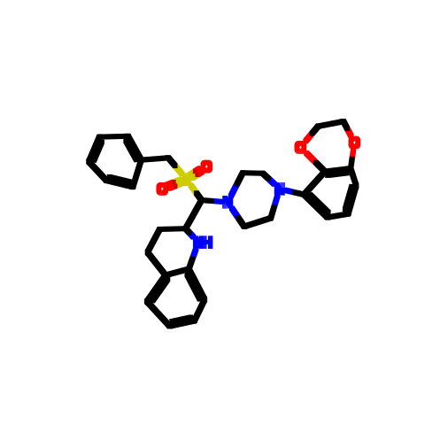 O=S(=O)(Cc1ccccc1)C(C1CCc2ccccc2N1)N1CCN(c2cccc3c2OCCO3)CC1